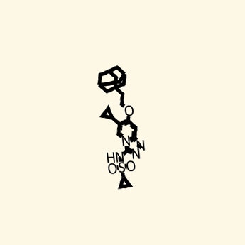 O=S(=O)(Nc1nnc2cc(OCCC34CC5CC(CC(C5)C3)C4)c(C3CC3)cn12)C1CC1